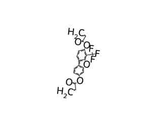 C=CC(=O)Oc1ccc2c(c1)oc1c(C(F)(F)F)c(OC(=O)C=C)ccc12